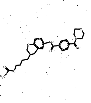 CC(=O)OCCCCC1COc2ccc(NC(=O)c3ccc(C(=N)N4CCOCC4)cc3)cc2C1